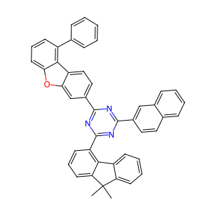 CC1(C)c2ccccc2-c2c(-c3nc(-c4ccc5ccccc5c4)nc(-c4ccc5c(c4)oc4cccc(-c6ccccc6)c45)n3)cccc21